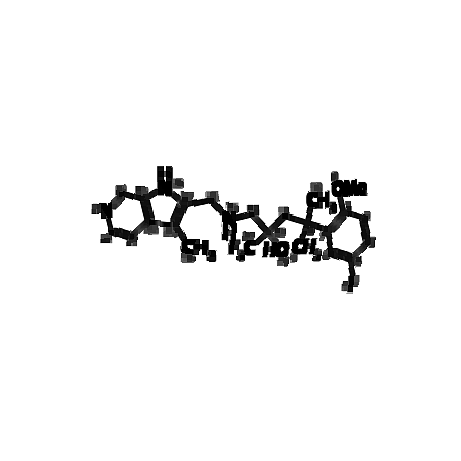 COc1ccc(F)cc1C(C)(C)CC(O)(CNCc1[nH]c2cnccc2c1C)C(F)(F)F